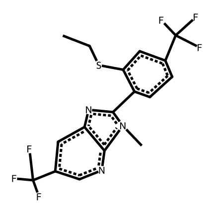 CCSc1cc(C(F)(F)F)ccc1-c1nc2cc(C(F)(F)F)cnc2n1C